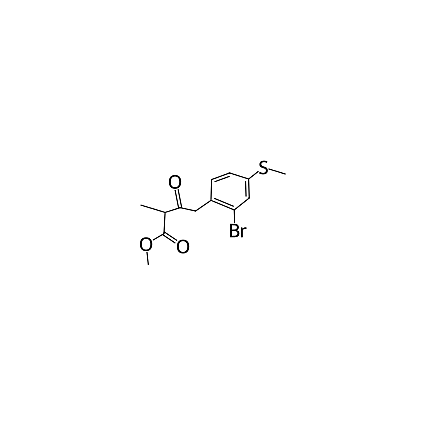 COC(=O)C(C)C(=O)Cc1ccc(SC)cc1Br